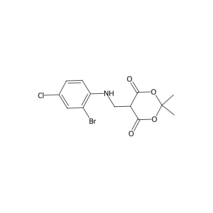 CC1(C)OC(=O)C(CNc2ccc(Cl)cc2Br)C(=O)O1